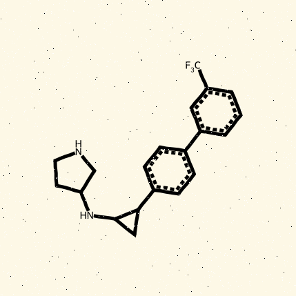 FC(F)(F)c1cccc(-c2ccc(C3CC3NC3CCNC3)cc2)c1